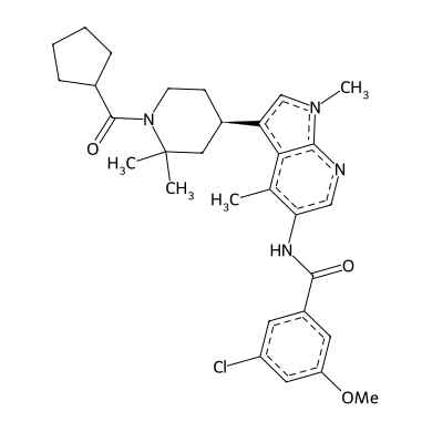 COc1cc(Cl)cc(C(=O)Nc2cnc3c(c([C@@H]4CCN(C(=O)C5CCCC5)C(C)(C)C4)cn3C)c2C)c1